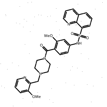 COc1cc(NS(=O)(=O)c2cccc3cccnc23)ccc1C(=O)N1CCN(Cc2ncccc2OC)CC1